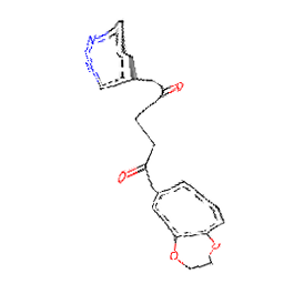 O=C(CCC(=O)c1ccc2c(c1)OCCO2)c1ccnnc1